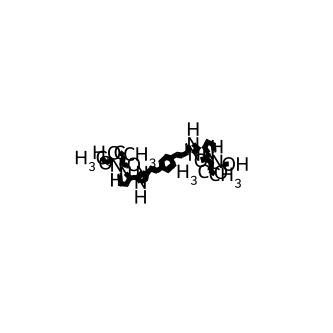 COC(=O)N[C@H](C(=O)N1CCCC1c1nc(/C=C/c2ccc(C=Cc3c[nH]c([C@@H]4CCCN4C(=O)[C@@H](NC(=O)O)C(C)C)n3)cc2)c[nH]1)C(C)C